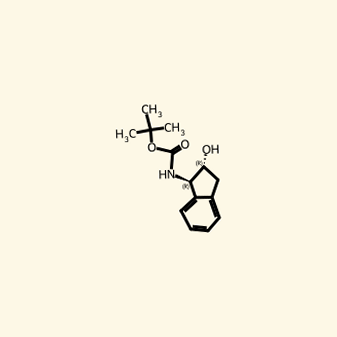 CC(C)(C)OC(=O)N[C@@H]1c2ccccc2C[C@H]1O